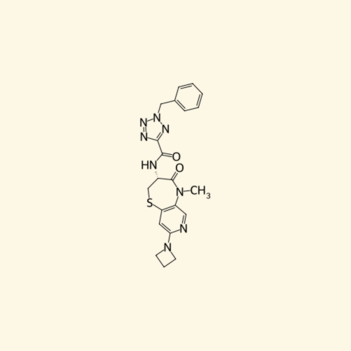 CN1C(=O)[C@@H](NC(=O)c2nnn(Cc3ccccc3)n2)CSc2cc(N3CCC3)ncc21